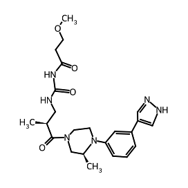 COCCC(=O)NC(=O)NC[C@H](C)C(=O)N1CCN(c2cccc(-c3cn[nH]c3)c2)[C@@H](C)C1